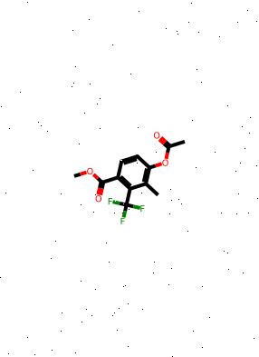 COC(=O)c1ccc(OC(C)=O)c(C)c1C(F)(F)F